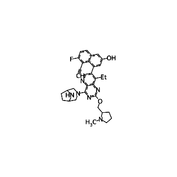 C#Cc1c(F)ccc2cc(O)cc(-c3cnc4c(N5CC6CCC(C5)N6)nc(OCC5CCCN5C)nc4c3CC)c12